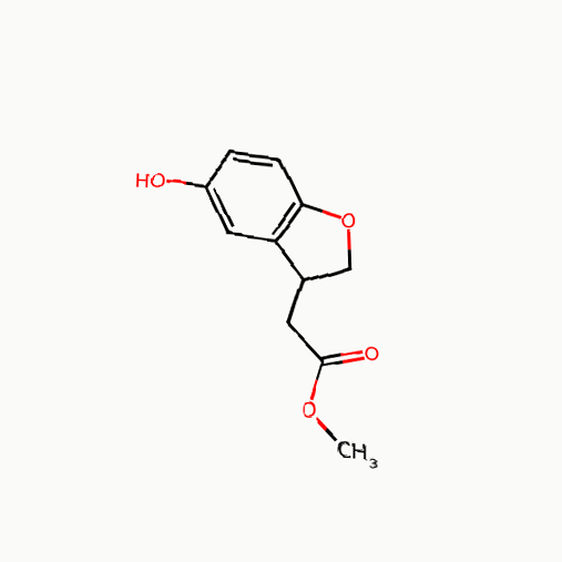 COC(=O)CC1COc2ccc(O)cc21